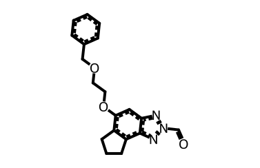 O=Cn1nc2cc(OCCOCc3ccccc3)c3c(c2n1)CCC3